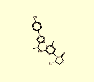 CC[C@H]1COC(=O)N1c1nc(C)nc(N[C@@H](C)c2cn(-c3ccc(C#N)cc3)cn2)n1